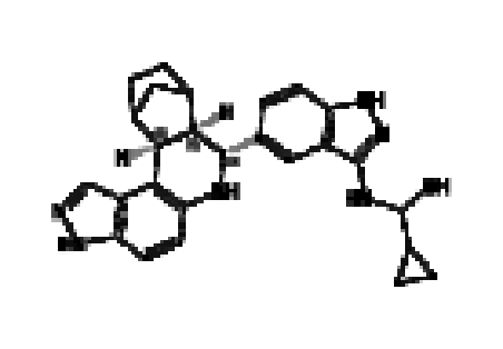 OC(Nc1n[nH]c2ccc([C@@H]3Nc4ccc5[nH]ncc5c4[C@H]4C5CCC(C5)[C@@H]34)cc12)C1CC1